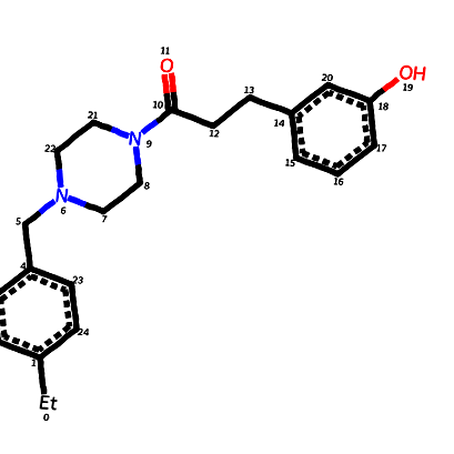 CCc1ccc(CN2CCN(C(=O)CCc3cccc(O)c3)CC2)cc1